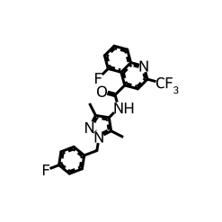 Cc1nn(Cc2ccc(F)cc2)c(C)c1NC(=O)c1cc(C(F)(F)F)nc2cccc(F)c12